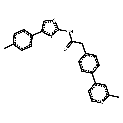 Cc1ccc(-c2csc(NC(=O)Cc3ccc(-c4ccnc(C)c4)cc3)n2)cc1